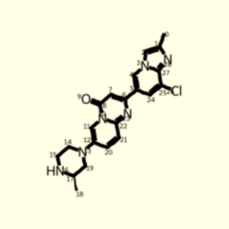 Cc1cn2cc(-c3cc(=O)n4cc(N5CCN[C@H](C)C5)ccc4n3)cc(Cl)c2n1